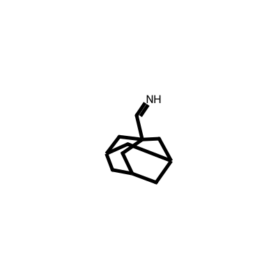 N=CC12CC3CC(CC(C3)C1)C2